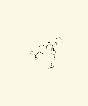 CCOC(=O)C1CCC(OC(N2CCCC2)N2CC(CCOC)C2)CC1